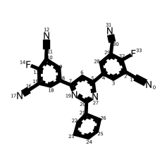 N#Cc1cc(-c2cc(-c3cc(C#N)c(F)c(C#N)c3)nc(-c3ccccc3)n2)cc(C#N)c1F